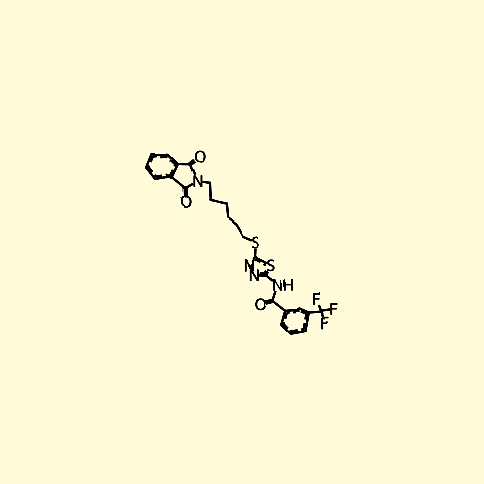 O=C(Nc1nnc(SCCCCCCN2C(=O)c3ccccc3C2=O)s1)c1cccc(C(F)(F)F)c1